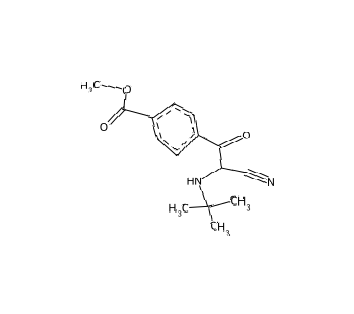 COC(=O)c1ccc(C(=O)C(C#N)NC(C)(C)C)cc1